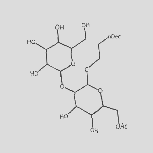 CCCCCCCCCCCCOC1OC(COC(C)=O)C(O)C(O)C1OC1OC(CO)C(O)C(O)C1O